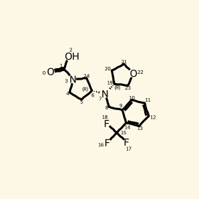 O=C(O)N1CC[C@@H](N(Cc2ccccc2C(F)(F)F)[C@@H]2CCOC2)C1